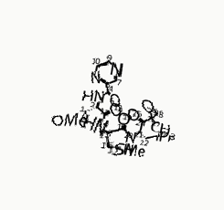 COC[C@H](NC(=O)c1cnccn1)C(=O)N[C@H](CSC)C(=O)N[C@@H](CC(C)C)C(=O)[C@@]1(C)CO1